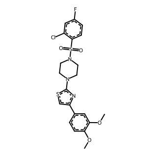 COc1ccc(-c2csc(N3CCN(S(=O)(=O)c4ccc(F)cc4Cl)CC3)n2)cc1OC